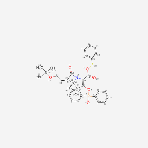 C[C@H]1C(OP(=O)(c2ccccc2)c2ccccc2)=C(C(=O)OSc2ccccc2)N2C(=O)[C@H](CCO[Si](C)(C)C(C)(C)C)[C@@H]12